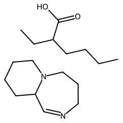 C1=NCCCN2CCCCC12.CCCCC(CC)C(=O)O